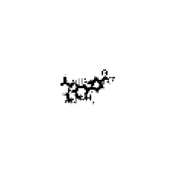 COC(=O)c1ccc2c(Cl)c(-c3nc(C(C)C)n4ccnc(N)c34)[nH]c2c1